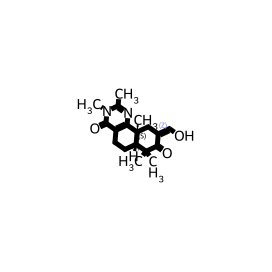 Cc1nc2c(c(=O)n1C)CC[C@H]1C(C)(C)C(=O)/C(=C\O)C[C@]21C